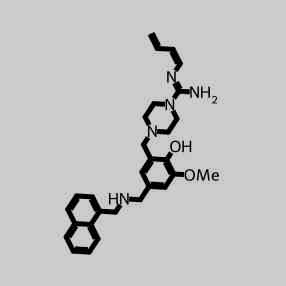 C=C/C=C\N=C(/N)N1CCN(Cc2cc(CNCc3cccc4ccccc34)cc(OC)c2O)CC1